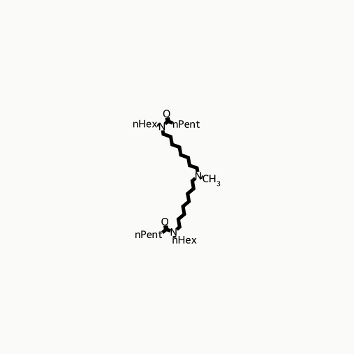 CCCCCCN(CCCCCCCCN(C)CCCCCCCCN(CCCCCC)C(=O)CCCCC)C(=O)CCCCC